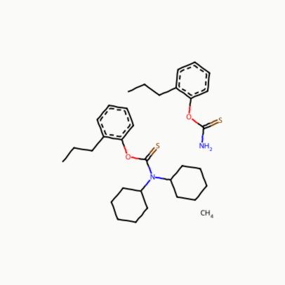 C.CCCc1ccccc1OC(=S)N(C1CCCCC1)C1CCCCC1.CCCc1ccccc1OC(N)=S